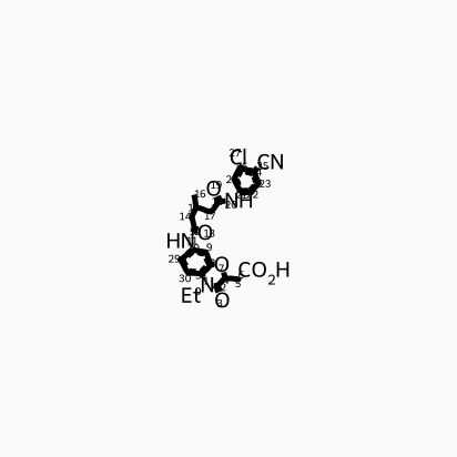 CCN1C(=O)C(CC(=O)O)Oc2cc(NC(=O)CC(C)CC(=O)Nc3ccc(C#N)c(Cl)c3)ccc21